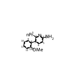 CCCc1nc(N)ccc1-c1ccccc1OC